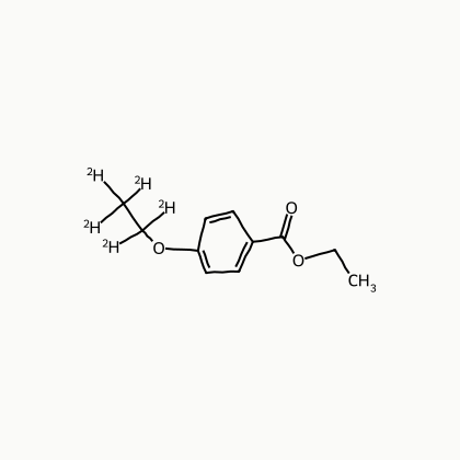 [2H]C([2H])([2H])C([2H])([2H])Oc1ccc(C(=O)OCC)cc1